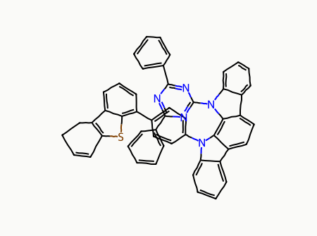 C1=Cc2sc3c(-c4ccc(-n5c6ccccc6c6ccc7c8ccccc8n(-c8nc(-c9ccccc9)nc(-c9ccccc9)n8)c7c65)cc4)cccc3c2CC1